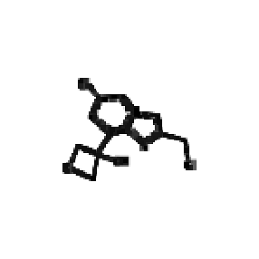 OC1(c2cc(Cl)cn3cc(CCl)nc23)COC1